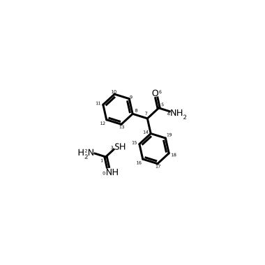 N=C(N)S.NC(=O)C(c1ccccc1)c1ccccc1